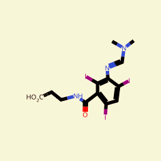 CN(C)C=Nc1c(I)cc(I)c(C(=O)NCCC(=O)O)c1I